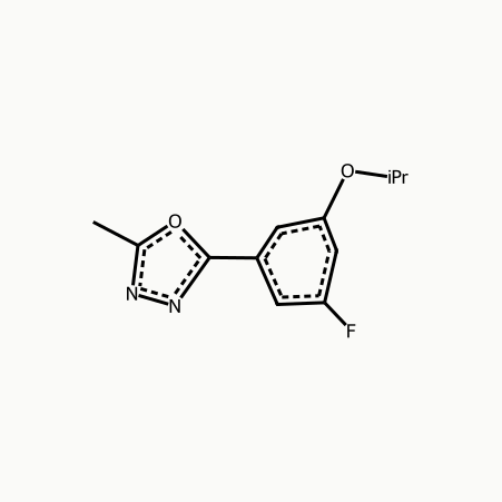 Cc1nnc(-c2cc(F)cc(OC(C)C)c2)o1